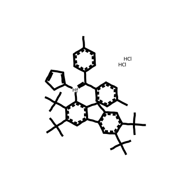 Cc1ccc([C](c2ccc(C)cc2)=[Hf]([C]2=CC=CC2)[c]2c3c(cc(C(C)(C)C)c2C(C)(C)C)-c2cc(C(C)(C)C)c(C(C)(C)C)cc2C3)cc1.Cl.Cl